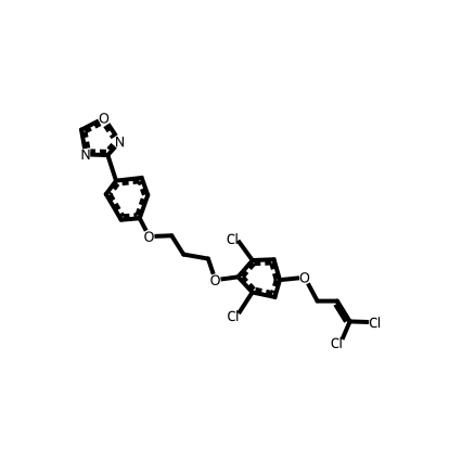 ClC(Cl)=CCOc1cc(Cl)c(OCCCOc2ccc(-c3ncon3)cc2)c(Cl)c1